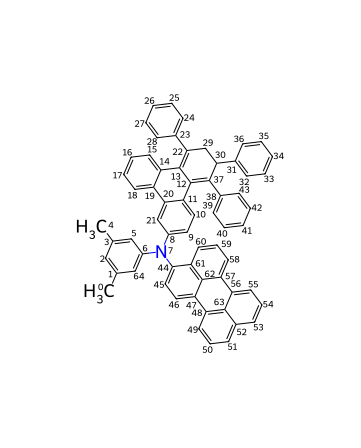 Cc1cc(C)cc(N(c2ccc3c4c(c5ccccc5c3c2)=C(c2ccccc2)CC(c2ccccc2)C=4c2ccccc2)c2ccc3c4cccc5cccc(c6cccc2c63)c54)c1